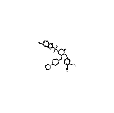 N#Cc1ccc(CN2C(=O)CN(S(=O)(=O)c3cc4ccc(Cl)cc4s3)C[C@@H]2CN2CCC(N3CCCC3)CC2)cc1N